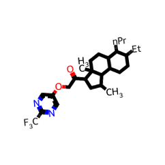 CCCC1C(CC)CCC2C1CCC1(C)C(C(=O)COc3cnc(C(F)(F)F)nc3)CC(C)C21